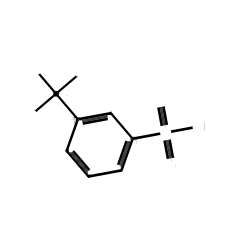 [CH2]S(=O)(=O)c1cccc(C(F)(F)F)c1